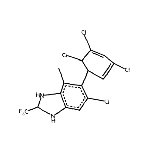 Cc1c2c(cc(Cl)c1C1C=C(Cl)C=C(Cl)C1Cl)NC(C(F)(F)F)N2